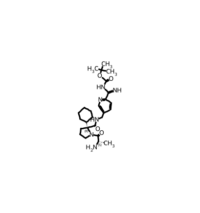 C[C@H](N)C(=O)N1CCC[C@]1(C(=O)NCc1ccc(C(=N)NC(=O)OC(C)(C)C)nc1)C1CCCCC1